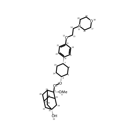 CO[C@]1(OO[C@H]2CC[C@@H](c3ccc(OCCN4CCOCC4)cc3)CC2)C2CC3CC1C[C@](O)(C3)C2